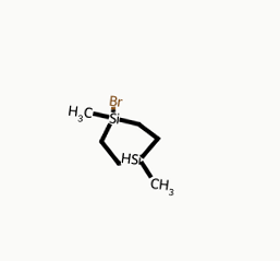 C[SiH]1CC[Si](C)(Br)CC1